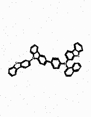 c1ccc2c(N(c3ccc(-c4ccc5c(c4)c4ccccc4n5-c4ccc5c(c4)sc4ccccc45)cc3)c3ccc4c(c3)sc3ccccc34)cccc2c1